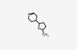 CC1CCC(C2CC=NCC2)S1